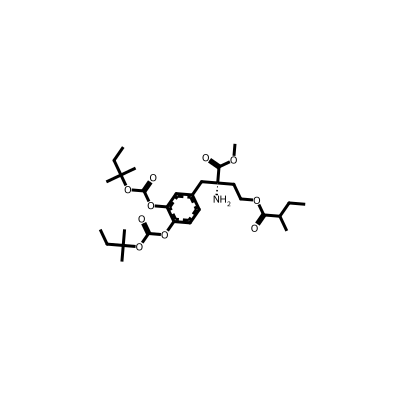 CCC(C)C(=O)OCC[C@@](N)(Cc1ccc(OC(=O)OC(C)(C)CC)c(OC(=O)OC(C)(C)CC)c1)C(=O)OC